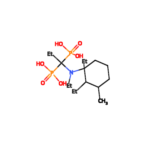 CCC1C(C)CCCC1(CC)N(CC)C(CC)(P(=O)(O)O)P(=O)(O)O